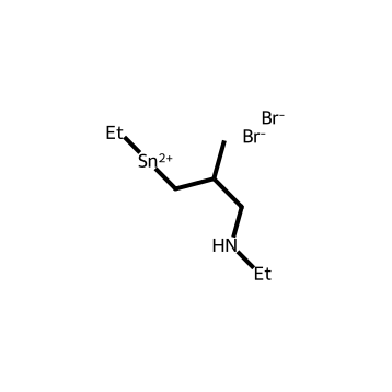 CCNCC(C)[CH2][Sn+2][CH2]C.[Br-].[Br-]